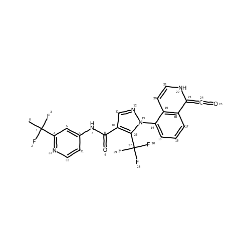 CC(F)(F)c1cc(NC(=O)c2cnn(-c3cccc4c3C=CNC4=C=O)c2C(F)(F)F)ccn1